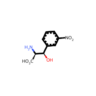 N[C@H](C(=O)O)[C@H](O)c1cccc([N+](=O)[O-])c1